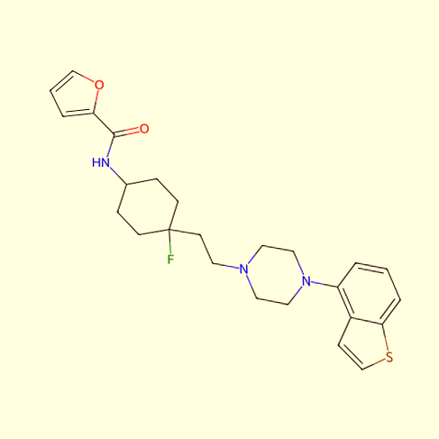 O=C(NC1CCC(F)(CCN2CCN(c3cccc4sccc34)CC2)CC1)c1ccco1